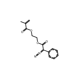 C=C(C)C(=O)OCCOC(=O)C(=[N+]=[N-])c1ccccc1